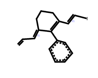 C=C/C=C1\CCCC(/C=C/I)=C1c1ccccc1